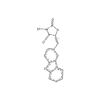 CCN1C(=O)O/C(=C/c2ccc3oc4ccccc4c3c2)C1=O